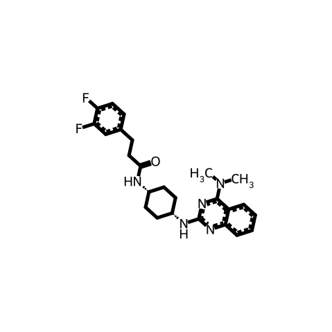 CN(C)c1nc(N[C@H]2CC[C@@H](NC(=O)CCc3ccc(F)c(F)c3)CC2)nc2ccccc12